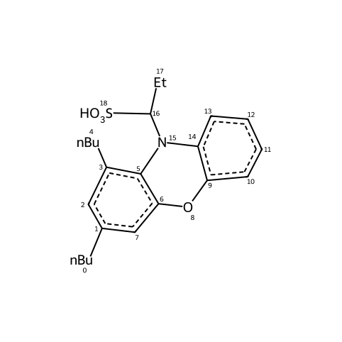 CCCCc1cc(CCCC)c2c(c1)Oc1ccccc1N2C(CC)S(=O)(=O)O